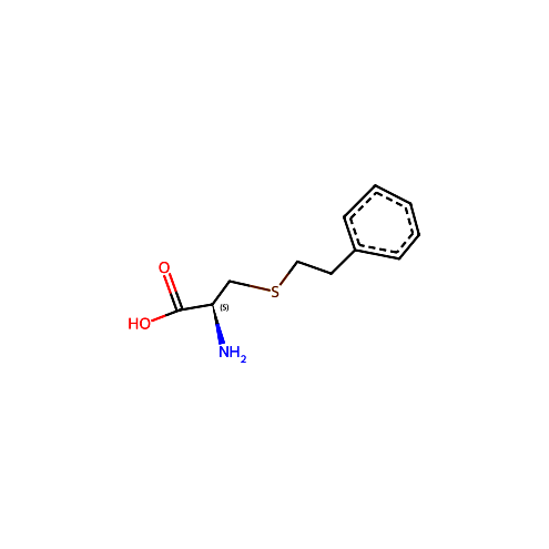 N[C@H](CSCCc1ccccc1)C(=O)O